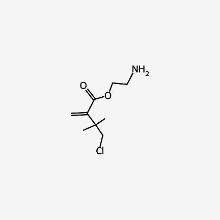 C=C(C(=O)OCCN)C(C)(C)CCl